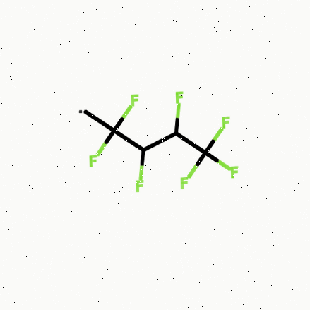 [CH2]C(F)(F)C(F)C(F)C(F)(F)F